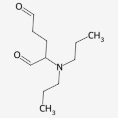 CCCN(CCC)C(C=O)CCC=O